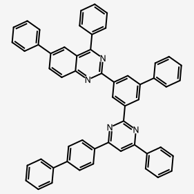 c1ccc(-c2ccc(-c3cc(-c4ccccc4)nc(-c4cc(-c5ccccc5)cc(-c5nc(-c6ccccc6)c6cc(-c7ccccc7)ccc6n5)c4)n3)cc2)cc1